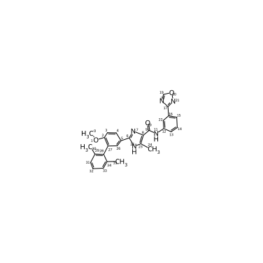 COc1ccc(-c2nc(C(=O)Nc3cccc(-c4ncon4)c3)c(C)[nH]2)cc1-c1c(C)cccc1C